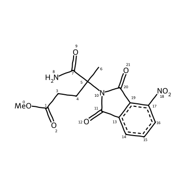 COC(=O)CCC(C)(C(N)=O)N1C(=O)c2cccc([N+](=O)[O-])c2C1=O